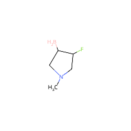 BC1CN(C)CC1F